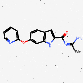 CNC(N)=NC(=O)c1cc2ccc(Oc3ccccn3)cc2[nH]1